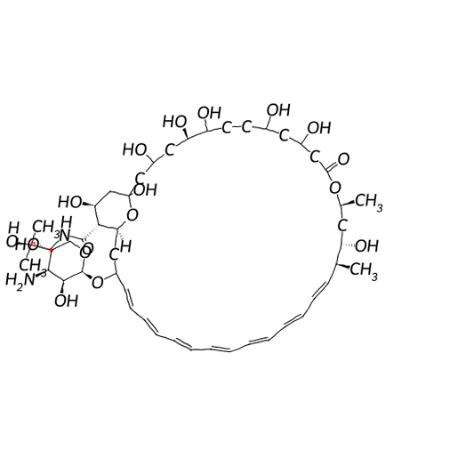 C[C@H]1C[C@H](O)[C@@H](C)/C=C/C=C/C=C/C=C/C=C/C=C/C=C/C(O[C@@H]2OC[C@@H](O)[C@H](N)[C@@H]2O)C[C@@H]2OC(O)(CC(O)C[C@@H](O)C(O)CCC(O)CC(O)CC(=O)O1)C[C@H](O)[C@H]2C(=O)NCC(C)(C)O